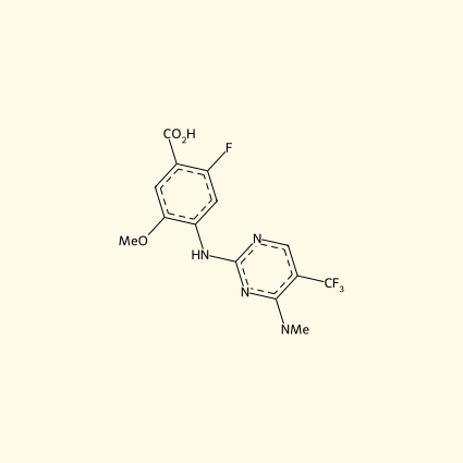 CNc1nc(Nc2cc(F)c(C(=O)O)cc2OC)ncc1C(F)(F)F